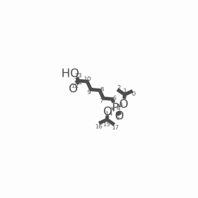 CC(C)OP(=O)(CCCCCC(=O)O)OC(C)C